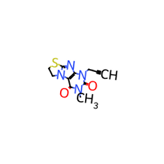 C#CCn1c(=O)n(C)c(=O)c2c1nc1n2CCS1